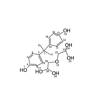 CC(C)(c1ccc(O)cc1)c1ccc(O)cc1.OC(O)COCC(O)O